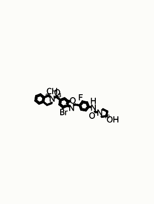 C[C@@H]1c2ccccc2CCN1C(=O)c1cc(Br)c2nc(-c3ccc(NC(=O)N4CC[C@@H](O)C4)cc3F)oc2c1